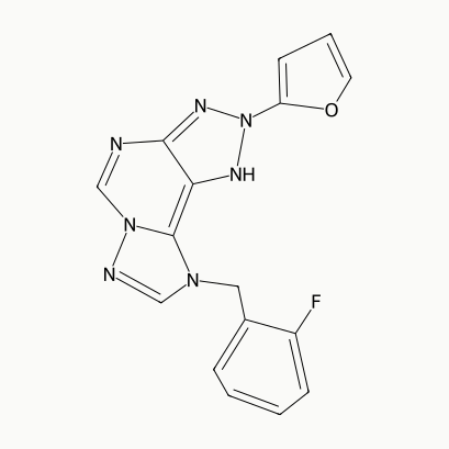 Fc1ccccc1CN1C=NN2C=NC3=NN(c4ccco4)NC3=C12